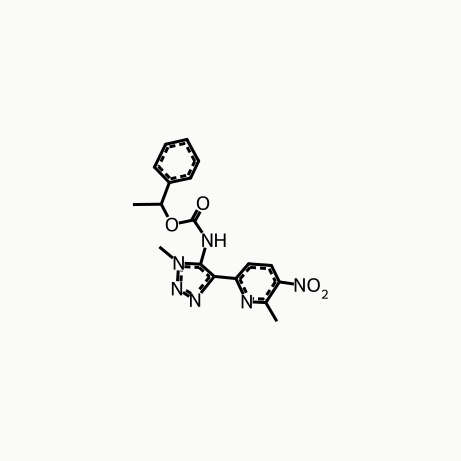 Cc1nc(-c2nnn(C)c2NC(=O)OC(C)c2ccccc2)ccc1[N+](=O)[O-]